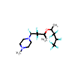 CC(OC(C)C(F)(F)C(F)C(F)(F)F)C(F)(F)C(F)N1CCN(C)CC1